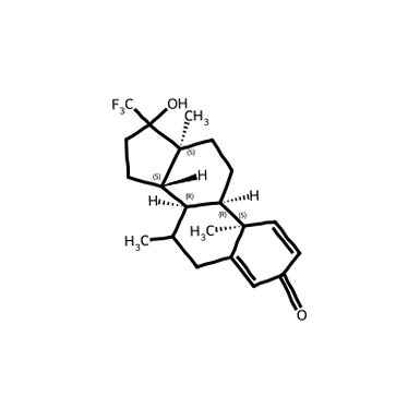 CC1CC2=CC(=O)C=C[C@]2(C)[C@@H]2CC[C@@]3(C)[C@@H](CCC3(O)C(F)(F)F)[C@H]12